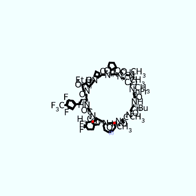 CCC[C@H]1C(=O)N[C@@H]([C@@H](C)CC)C(=O)N(C)CC(=O)N(C)[C@H]2C/C=C\CCN(C2=O)[C@@H](CC2CCC(F)(F)CC2)C(=O)N(C)CC(=O)N[C@@H](CCc2cc(F)c(C(F)(F)F)c(F)c2)C(=O)N2C[C@H](OCC)C[C@H]2C(=O)NC2(CCC2)C(=O)N(C)[C@@H](C2CCCC2)C(=O)N(C)[C@H](C(=O)N(C)C)CC(=O)N1C